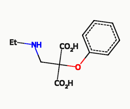 CCNCC(Oc1ccccc1)(C(=O)O)C(=O)O